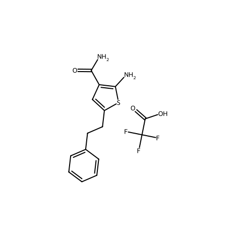 NC(=O)c1cc(CCc2ccccc2)sc1N.O=C(O)C(F)(F)F